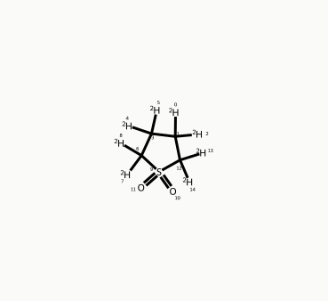 [2H]C1([2H])C([2H])([2H])C([2H])([2H])S(=O)(=O)C1([2H])[2H]